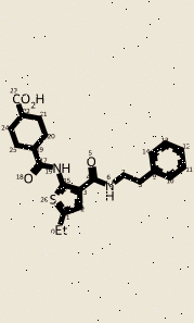 CCc1cc(C(=O)NCCc2ccccc2)c(NC(=O)C2CCC(C(=O)O)CC2)s1